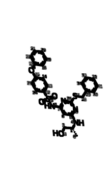 C[C@H](CO)Nc1cc(NS(=O)(=O)c2ccc(Oc3ccccc3)cc2)nc(SCc2ccccc2)n1